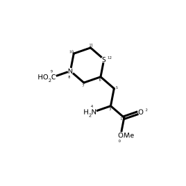 COC(=O)C(N)CC1CN(C(=O)O)CCS1